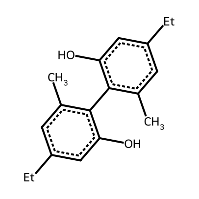 CCc1cc(C)c(-c2c(C)cc(CC)cc2O)c(O)c1